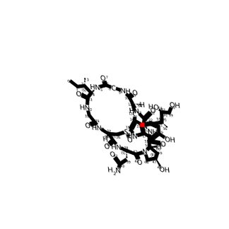 CC[C@H](C)[C@@H]1NC(=O)CNC(=O)[C@@H]2Cc3c([nH]c4cc(O)ccc34)[S+]([O-])C[C@H](NC(=O)CNC1=O)C(=O)N[C@@H](CC(N)=O)C(=O)N1C[C@H](O)C[C@H]1C(=O)N[C@@H]([C@@H](C)[C@@H](O)CO)C(=O)N2